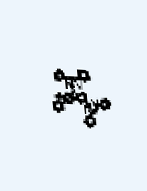 CC1(C)c2ccccc2-c2cc3c4cc(-c5nc(-c6ccccc6)cc(-c6ccccc6)n5)ccc4n(-c4nc(-c5ccccc5)cc(-c5ccccc5)n4)c3cc21